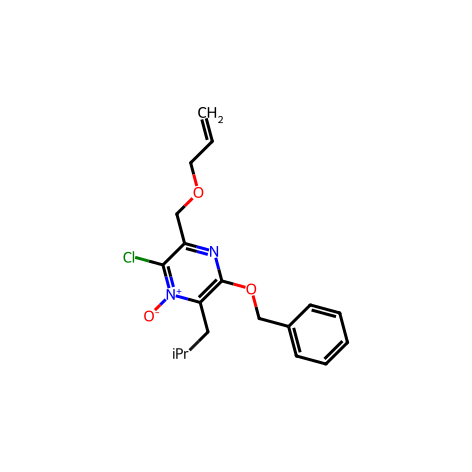 C=CCOCc1nc(OCc2ccccc2)c(CC(C)C)[n+]([O-])c1Cl